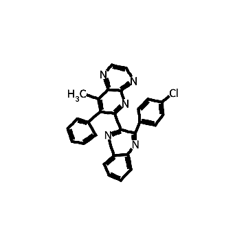 Cc1c(-c2ccccc2)c(-c2nc3ccccc3nc2-c2ccc(Cl)cc2)nc2nccnc12